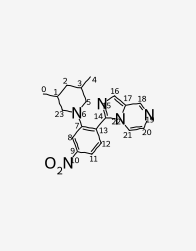 CC1CC(C)CN(c2cc([N+](=O)[O-])ccc2-c2ncc3cnccn23)C1